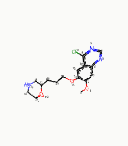 COc1cc2ncnc(Cl)c2cc1OCCCC1CNCCO1